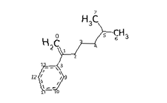 C=C(CCCC(C)C)c1ccccc1